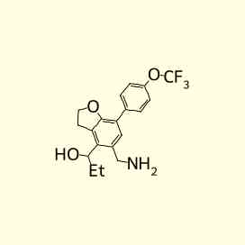 CCC(O)c1c(CN)cc(-c2ccc(OC(F)(F)F)cc2)c2c1CCO2